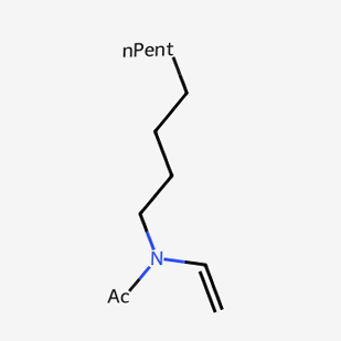 C=CN(CCCCCCCCC)C(C)=O